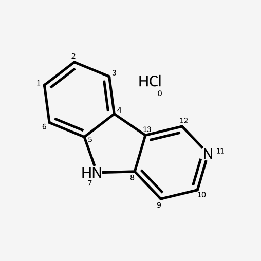 Cl.c1ccc2c(c1)[nH]c1ccncc12